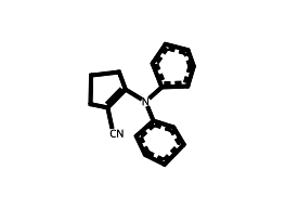 N#CC1=C(N(c2ccccc2)c2ccccc2)CCC1